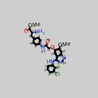 COC(=O)[C@@H](N)Cc1ccc(NC(=O)COc2cc3c(Nc4cccc(Cl)c4F)ncnc3cc2OC)cc1